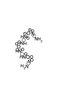 COc1cc(OC)c(C(=O)N2CCC(N)CC2)cc1NC1CCC(NC(=O)c2cc(C(=O)NC3CCC(NC(=O)c4cc(C(=O)N5CCC(N)CC5)c(OC)cc4OC)CC3)c(OC)cc2OC)CC1